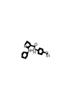 CCOc1ccc(NC(=O)c2cccnc2Nc2ccccc2)cc1